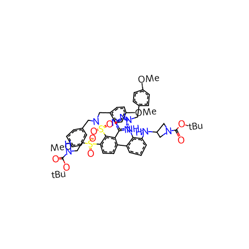 COc1ccc(CN(Cc2ccc(OC)cc2)S(=O)(=O)c2c(S(=O)(=O)CCNC(=O)OC(C)(C)C)ccc(-c3cccc(NC4CN(C(=O)OC(C)(C)C)C4)c3N)c2-c2nnn(Cc3ccc(OC)cc3)n2)cc1